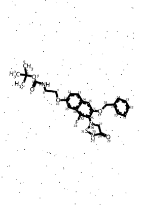 CC(C)(C)OC(=O)NCCOc1ccc2cc(OCc3ccccc3)c(N3CC(=O)NS3)c(F)c2c1